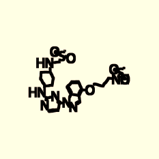 CS(=O)(=O)CNC1CCC(Nc2nccc(-n3ncc4c(OCCCNS(C)(=O)=O)cccc43)n2)CC1